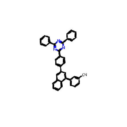 N#Cc1cccc(-c2cc(-c3ccc(-c4nc(-c5ccccc5)nc(-c5ccccc5)n4)cc3)cc3ccccc23)c1